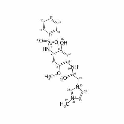 COc1cc(NS(=O)(=O)c2ccccc2)c(O)cc1NC(=O)Cn1cc[n+](C)c1